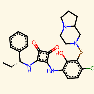 CC[C@@H](Nc1c(Nc2ccc(Cl)c(SN3CCN4CCCC4C3)c2O)c(=O)c1=O)c1ccccc1